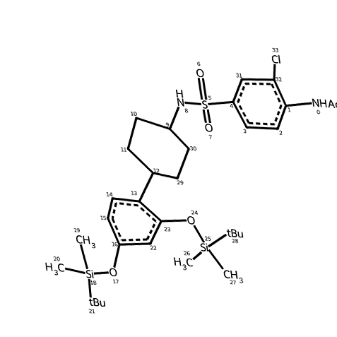 CC(=O)Nc1ccc(S(=O)(=O)NC2CCC(c3ccc(O[Si](C)(C)C(C)(C)C)cc3O[Si](C)(C)C(C)(C)C)CC2)cc1Cl